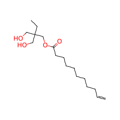 C=CCCCCCCCCC(=O)OCC(CC)(CO)CO